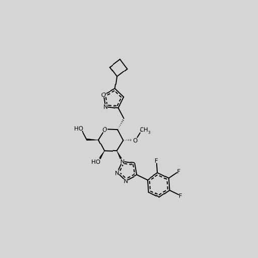 CO[C@@H]1[C@@H](n2cc(-c3ccc(F)c(F)c3F)nn2)[C@@H](O)[C@@H](CO)O[C@@H]1Cc1cc(C2CCC2)on1